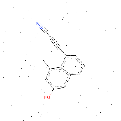 Cc1cc(O)cc2cccc(C#CC#N)c12